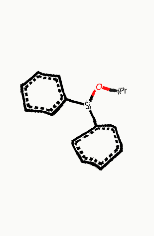 CC(C)O[Si](c1ccccc1)c1ccccc1